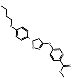 CCCCOc1ccc([C@@H]2CC(Oc3ccc(C(=O)OC)nc3)=NO2)cc1